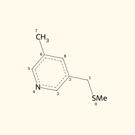 CSCc1cncc(C)c1